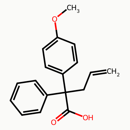 C=CCC(C(=O)O)(c1ccccc1)c1ccc(OC)cc1